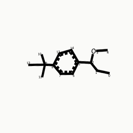 CCC(OC)c1ccc(C(C)(C)C)cc1